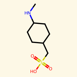 CNC1CCC(CS(=O)(=O)O)CC1